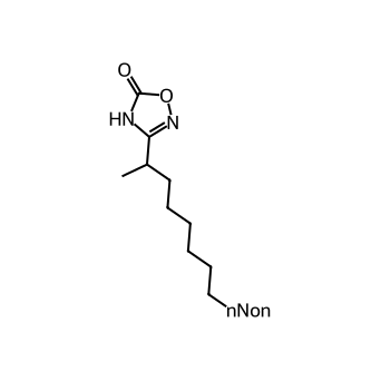 CCCCCCCCCCCCCCCC(C)c1noc(=O)[nH]1